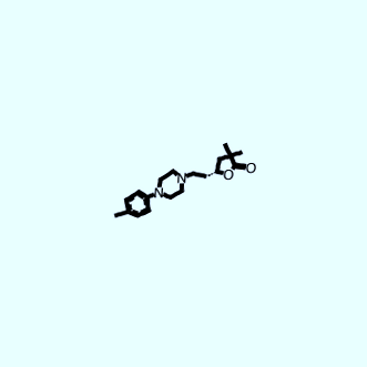 Cc1ccc(N2CCN(CC[C@@H]3CC(C)(C)C(=O)O3)CC2)cc1